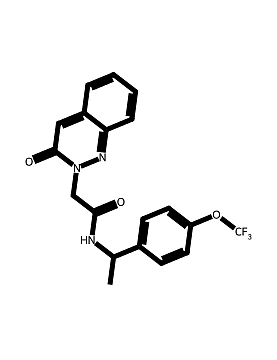 CC(NC(=O)Cn1nc2ccccc2cc1=O)c1ccc(OC(F)(F)F)cc1